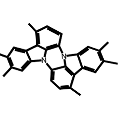 Cc1cc2c3c(C)ccc4c3n(c2cc1C)c1ccc(C)c2c3cc(C)c(C)cc3n4c21